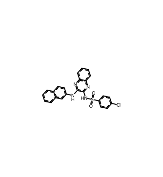 O=S(=O)(Nc1nc2ccccc2nc1Nc1ccc2ccccc2c1)c1ccc(Cl)cc1